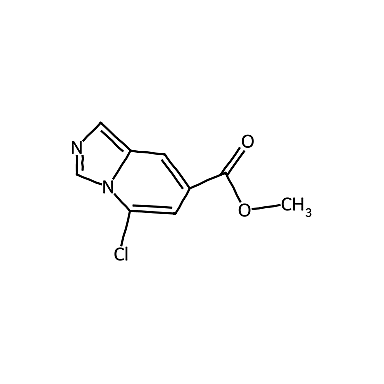 COC(=O)c1cc(Cl)n2cncc2c1